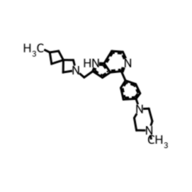 CC1CC2(C1)CN(Cc1cc3c(-c4ccc(N5CCN(C)CC5)cc4)nccc3[nH]1)C2